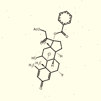 CC(=O)OCC(=O)[C@@]1(OC(=O)c2ccccc2)CC[C@H]2[C@@H]3C[C@H](F)C4=CC(=O)C=C(C)[C@]4(C)[C@@]3(Cl)C(O)C[C@@]21C